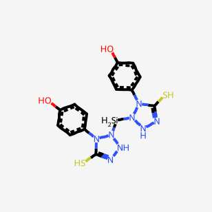 Oc1ccc(N2C(S)=NNN2[SiH2]N2NN=C(S)N2c2ccc(O)cc2)cc1